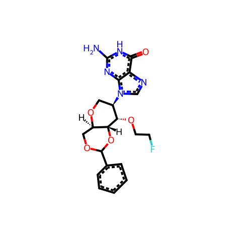 Nc1nc2c(ncn2[C@@H]2CO[C@@H]3COC(c4ccccc4)O[C@H]3[C@H]2OCCF)c(=O)[nH]1